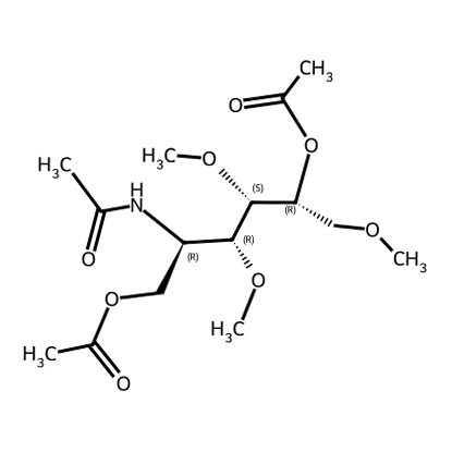 COC[C@@H](OC(C)=O)[C@@H](OC)[C@H](OC)[C@@H](COC(C)=O)NC(C)=O